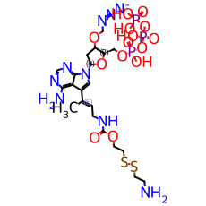 C/C(=C\CNC(=O)OCCSSCCN)c1cn([C@H]2CC(OCN=[N+]=[N-])[C@@H](COP(=O)(O)OP(=O)(O)OP(=O)(O)O)O2)c2ncnc(N)c12